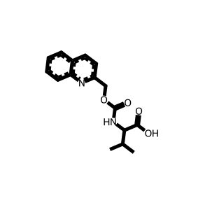 CC(C)C(NC(=O)OCc1ccc2ccccc2n1)C(=O)O